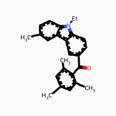 CCn1c2ccc(C)cc2c2cc(C(=O)c3c(C)cc(C)cc3C)ccc21